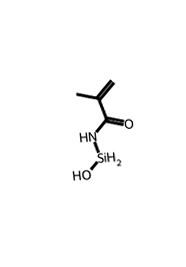 C=C(C)C(=O)N[SiH2]O